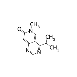 CC(C)c1ncnc2cc(=O)n(C)cc12